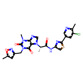 Cc1cc(Cn2c(=O)c3c(ncn3[C@@H](C)C(=O)Nc3csc(-c4cnc(C)c(Cl)c4)n3)n(C)c2=O)no1